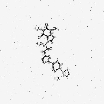 C[C@H]1CCCN1c1ncc(-c2nnc(NC(=O)[C@H](C)n3ccc4c3c(=O)n(C)c(=O)n4C)s2)cn1